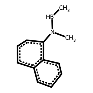 CBN(C)c1cccc2ccccc12